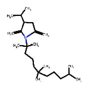 C=C1CC(C(C)C)C(=C)N1C(C)(C)CCCC(C)(C)CCCC(C)C